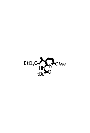 C=C(CC(=O)OCC)c1ccc(OC)nc1NC(=O)C(C)(C)C